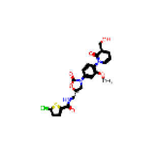 COc1cc(N2C[C@H](CNC(=O)C3=CCC(Cl)S3)OC2=O)ccc1-n1cccc(CO)c1=O